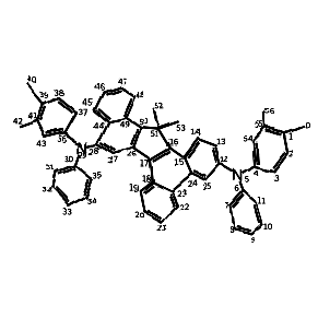 Cc1ccc(N(c2ccccc2)c2ccc3c4c(c5ccccc5c3c2)-c2cc(N(c3ccccc3)c3ccc(C)c(C)c3)c3ccccc3c2C4(C)C)cc1C